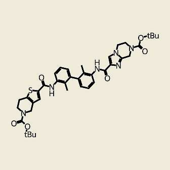 Cc1c(NC(=O)c2cn3c(n2)CN(C(=O)OC(C)(C)C)CC3)cccc1-c1cccc(NC(=O)c2cc3c(s2)CCN(C(=O)OC(C)(C)C)C3)c1C